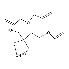 C=CCOCC=C.C=COCCC(CO)(CO)CO